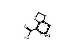 Cl.O=C(O)c1cccc2c1OCC2